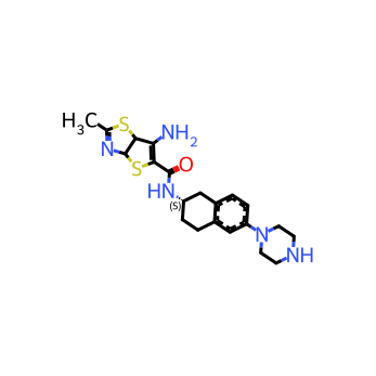 CC1=NC2SC(C(=O)N[C@H]3CCc4cc(N5CCNCC5)ccc4C3)=C(N)C2S1